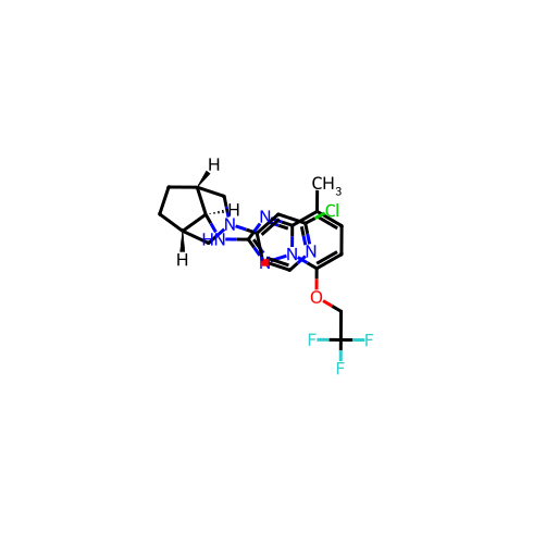 Cc1ccc(OCC(F)(F)F)n2nc(N[C@@H]3[C@@H]4CC[C@H]3CN(c3ccnc(Cl)c3)C4)nc12